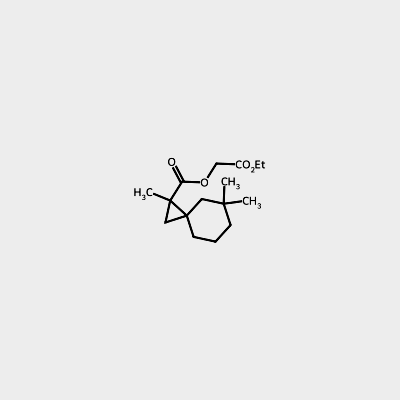 CCOC(=O)COC(=O)C1(C)CC12CCCC(C)(C)C2